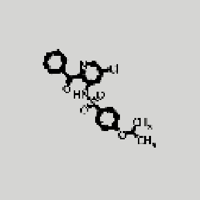 CC(C)Oc1ccc(S(=O)(=O)Nc2cc(Cl)cnc2C(=O)c2ccccc2)cc1